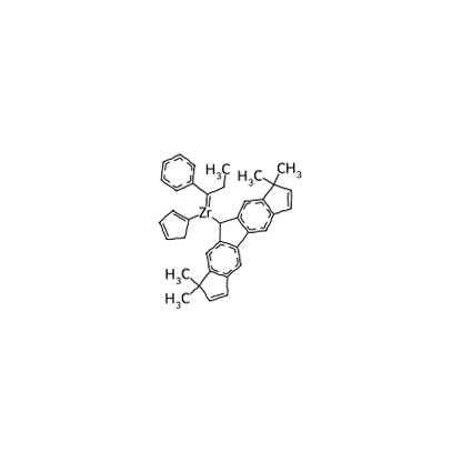 CC[C](c1ccccc1)=[Zr]([C]1=CC=CC1)[CH]1c2cc3c(cc2-c2cc4c(cc21)C(C)(C)C=C4)C=CC3(C)C